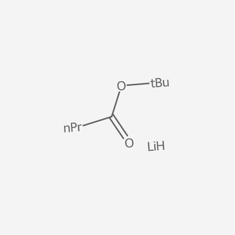 CCCC(=O)OC(C)(C)C.[LiH]